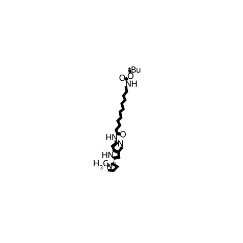 CN1CCC[C@H]1c1cc2cnc(NC(=O)CCCCCCCCCCCNC(=O)OC(C)(C)C)cc2[nH]1